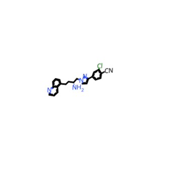 N#Cc1ccc(-c2ccn(C[C@H](N)CCc3cccc4ncccc34)n2)cc1Cl